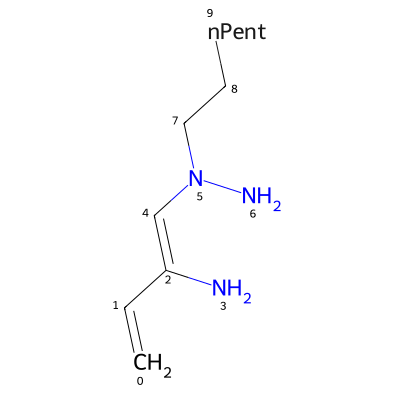 C=C/C(N)=C/N(N)CCCCCCC